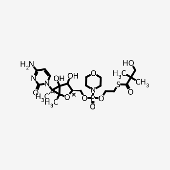 CC(C)(CO)C(=O)SCCOP(=O)(OC[C@H]1OC2(C)C(O)(C1O)[C@]2(C)n1ccc(N)nc1=O)N1CCOCC1